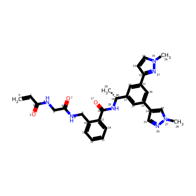 C=CC(=O)NCC(=O)NCc1ccccc1C(=O)N[C@H](C)c1cc(-c2cnn(C)c2)cc(-c2ccn(C)n2)c1